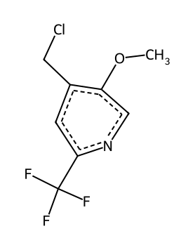 COc1cnc(C(F)(F)F)cc1CCl